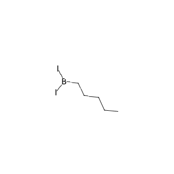 CCCCCB(I)I